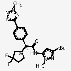 Cn1nnc(-c2ccc([C@@H](C(=O)Nc3cc(C(C)(C)C)nn3C)[C@H]3CCC(F)(F)C3)cc2)n1